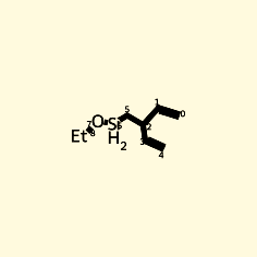 C=CC(C=C)C[SiH2]OCC